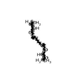 C=C(C)C(=O)OCC(O)COC(=O)CCn1cc[n+](CCCCCC[n+]2ccn(CCC(=O)OCC(O)COC(=O)C(=C)C)c2)c1